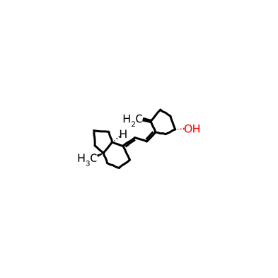 C=C1CC[C@H](O)C/C1=C/C=C1\CCC[C@]2(C)CCC[C@@H]12